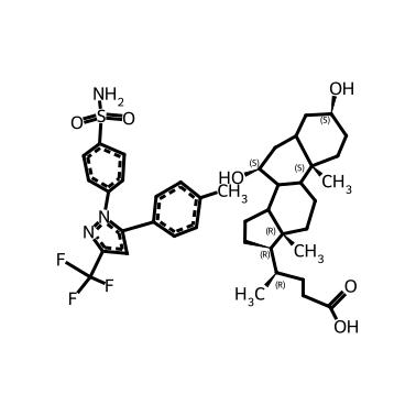 C[C@H](CCC(=O)O)[C@H]1CCC2C3C(CC[C@@]21C)[C@@]1(C)CC[C@H](O)CC1C[C@@H]3O.Cc1ccc(-c2cc(C(F)(F)F)nn2-c2ccc(S(N)(=O)=O)cc2)cc1